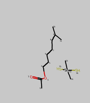 CC(=O)OCCCCCC(C)C.[CH3][Sn]([CH3])([SH])[SH]